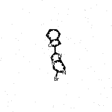 Brc1cn2cc(-c3cc4ccccc4o3)nc2cn1